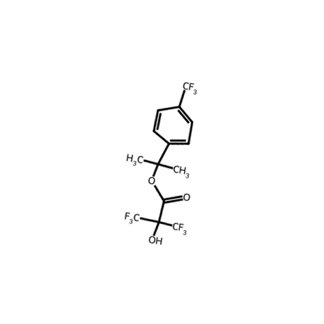 CC(C)(OC(=O)C(O)(C(F)(F)F)C(F)(F)F)c1ccc(C(F)(F)F)cc1